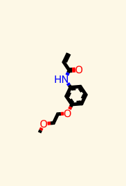 C=CC(=O)Nc1cccc(OCCOC)c1